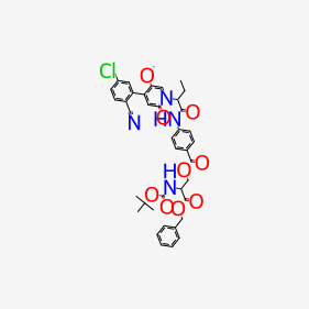 CCC(C(=O)Nc1ccc(C(=O)OCC(NC(=O)OC(C)(C)C)C(=O)OCc2ccccc2)cc1)n1cc(OC)c(-c2cc(Cl)ccc2C#N)cc1=O